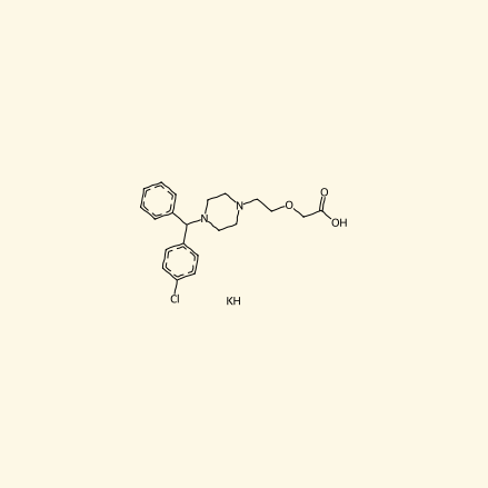 O=C(O)COCCN1CCN(C(c2ccccc2)c2ccc(Cl)cc2)CC1.[KH]